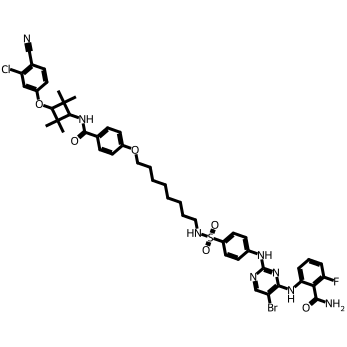 CC1(C)C(NC(=O)c2ccc(OCCCCCCCCNS(=O)(=O)c3ccc(Nc4ncc(Br)c(Nc5cccc(F)c5C(N)=O)n4)cc3)cc2)C(C)(C)C1Oc1ccc(C#N)c(Cl)c1